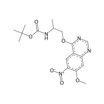 COc1cc2ncnc(OCC(C)NC(=O)OC(C)(C)C)c2cc1[N+](=O)[O-]